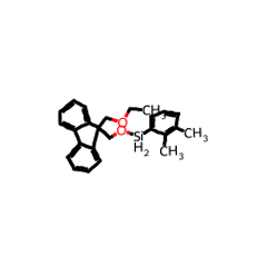 CCOCC1(CO[SiH2]c2cccc(C)c2C)c2ccccc2-c2ccccc21